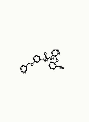 CC(C)(C)c1ccccc1Oc1ncccc1NC(=O)Nc1cccc(OCc2cccnc2)c1